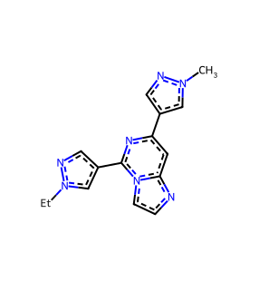 CCn1cc(-c2nc(-c3cnn(C)c3)cc3nccn23)cn1